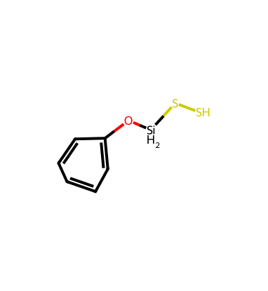 SS[SiH2]Oc1ccccc1